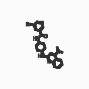 CN(C)c1cc(NC2CCC(NC(=O)c3cncc(Br)c3)CC2)nc2ccccc12